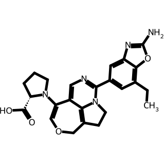 CCc1cc(C2=NC=C3C(N4CCC[C@H]4C(=O)O)=COCC4=C3N2CC4)cc2nc(N)oc12